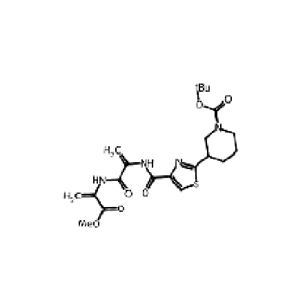 C=C(NC(=O)c1csc(C2CCCN(C(=O)OC(C)(C)C)C2)n1)C(=O)NC(=C)C(=O)OC